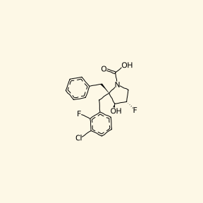 O=C(O)N1C[C@H](F)[C@@H](O)[C@]1(Cc1ccccc1)Cc1cccc(Cl)c1F